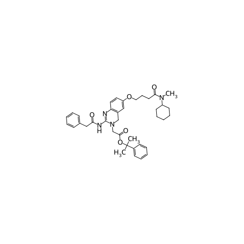 CN(C(=O)CCCOc1ccc2c(c1)CN(CC(=O)OC(C)(C)c1ccccc1)C(NC(=O)Cc1ccccc1)=N2)C1CCCCC1